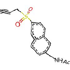 C#CCS(=O)(=O)c1ccc2cc(NC(C)=O)ccc2c1